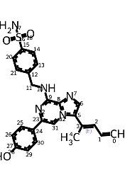 C=C/C=C(\C)c1cnc2c(NCc3ccc(S(N)(=O)=O)cc3)nc(-c3ccc(O)cc3)cn12